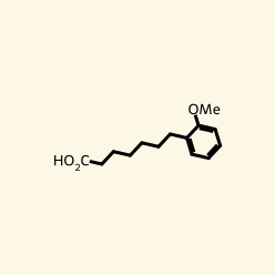 COc1ccccc1CCCCCCC(=O)O